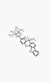 CC1(C)c2cc(B3OC(C)(C)C(C)(C)O3)ccc2Oc2c1ccc1c2oc2ccccc21